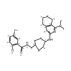 CN(C)c1nc(NC2CCC(CNC(=O)c3cc(F)ccc3Cl)CC2)nc2c1CCCC2